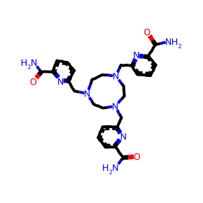 NC(=O)c1cccc(CN2CCN(Cc3cccc(C(N)=O)n3)CCN(Cc3cccc(C(N)=O)n3)CC2)n1